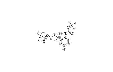 CC(C)(C)OC(=O)Nc1ccc(F)cc1C(C)(C)CCOC(=O)C(C)(C)C